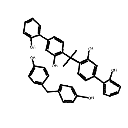 CC(C)(c1ccc(-c2ccccc2O)cc1O)c1ccc(-c2ccccc2O)cc1O.Oc1ccc(Cc2ccc(O)cc2)cc1